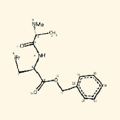 CN[C@H](C)C(=O)N[C@H](CC(C)C)C(=O)OCc1ccccc1